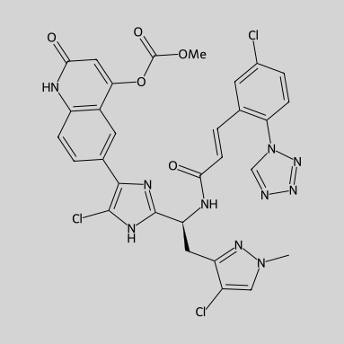 COC(=O)Oc1cc(=O)[nH]c2ccc(-c3nc([C@H](Cc4nn(C)cc4Cl)NC(=O)/C=C/c4cc(Cl)ccc4-n4cnnn4)[nH]c3Cl)cc12